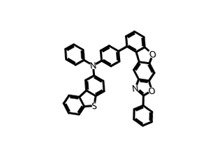 c1ccc(-c2nc3cc4c(cc3o2)oc2cccc(-c3ccc(N(c5ccccc5)c5ccc6sc7ccccc7c6c5)cc3)c24)cc1